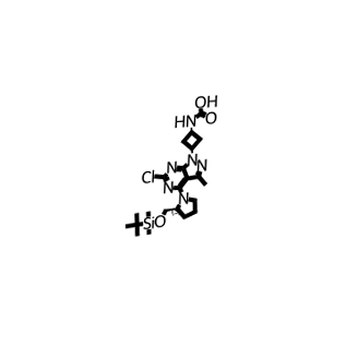 Cc1nn([C@H]2C[C@@H](NC(=O)O)C2)c2nc(Cl)nc(N3CCC[C@H]3CO[Si](C)(C)C(C)(C)C)c12